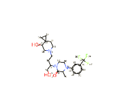 CC1C(=O)N(C(CO)CCN2CCC3(CC3)C(O)C2)CCN1c1cccc(C(F)(F)F)c1